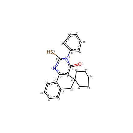 O=c1c2c(nc(S)n1-c1ccccc1)-c1ccccc1CC21CCCCC1